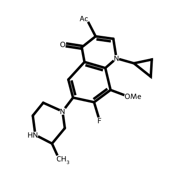 COc1c(F)c(N2CCNC(C)C2)cc2c(=O)c(C(C)=O)cn(C3CC3)c12